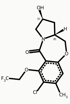 Cc1cc2c(c(OCC(F)(F)F)c1Cl)C(=O)N1C[C@@H](O)C[C@@H]1CO2